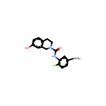 CC(=O)Nc1ccc(F)c(NC(=O)N2CCc3ccc(O)cc3C2)c1